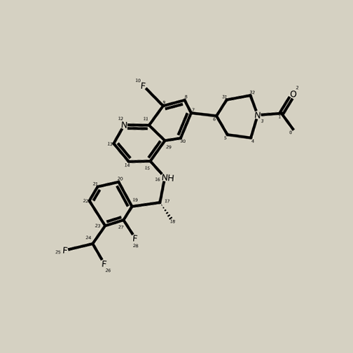 CC(=O)N1CCC(c2cc(F)c3nccc(N[C@H](C)c4cccc(C(F)F)c4F)c3c2)CC1